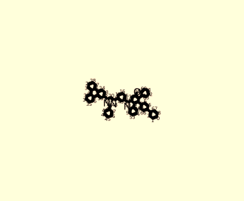 c1ccc(-c2ccc(-c3c4c(cc5c(-c6cccc(-c7cc(-c8ccc9c%10ccccc%10c%10ccccc%10c9c8)nc(-c8ccccc8)n7)c6)nc6ccccc6c35)oc3ccccc34)cc2)cc1